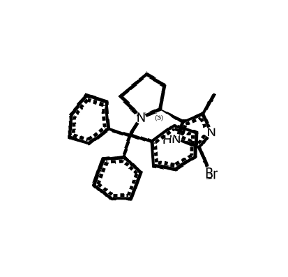 Cc1nc(Br)[nH]c1[C@@H]1CCCN1C(c1ccccc1)(c1ccccc1)c1ccccc1